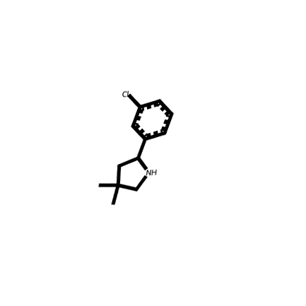 CC1(C)CNC(c2cccc(Cl)c2)C1